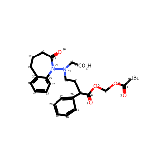 CC(C)(C)C(=O)OCOC(=O)C(CCN(CC(=O)O)N1C(=O)CCCc2ccccc21)c1ccccc1